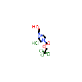 Cl.O=C(OCC(Cl)(Cl)Cl)N1CCN(CCO)CC1